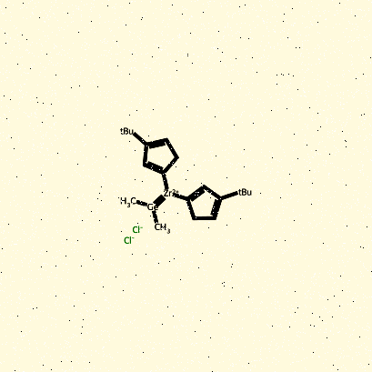 [CH3][Ge]([CH3])=[Zr+2]([C]1=CC(C(C)(C)C)=CC1)[C]1=CC(C(C)(C)C)=CC1.[Cl-].[Cl-]